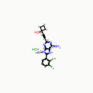 CCCn1c(-c2cccc(F)c2F)nc2c(N)nc(C#CC3(O)CCC3)nc21.Cl